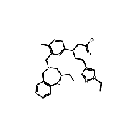 CCC1CN(Cc2cc(C(CCc3cn(CC)nn3)CC(=O)O)ccc2C)Cc2cnccc2O1